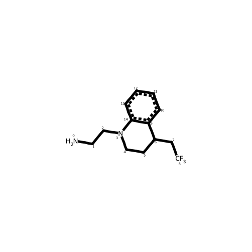 NCCN1CCC(CC(F)(F)F)c2ccccc21